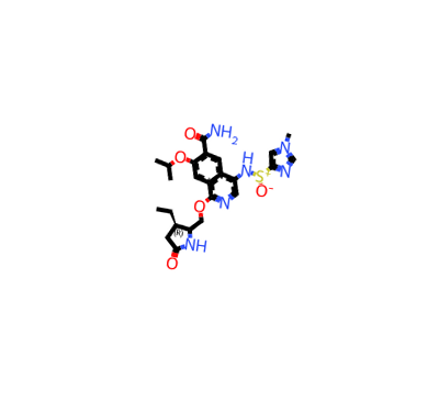 CC[C@@H]1CC(=O)NC1COc1ncc(N[S+]([O-])c2cn(C)cn2)c2cc(C(N)=O)c(OC(C)C)cc12